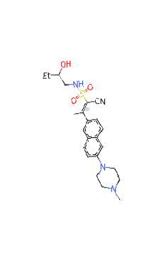 CCC(O)CNS(=O)(=O)/C(C#N)=C(\C)c1ccc2cc(N3CCN(C)CC3)ccc2c1